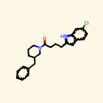 O=C(CCCc1cc2ccc(Cl)cc2[nH]1)N1CCCC(Cc2ccccc2)C1